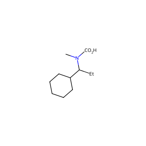 CCC(C1CCCCC1)N(C)C(=O)O